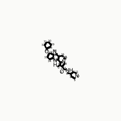 Cc1c(C(=O)NCc2ccncc2)cn2ncc(C#N)c(Nc3ccc(Oc4ccccc4)cc3)c12